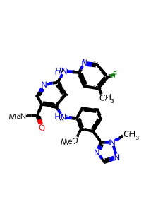 CNC(=O)c1cnc(Nc2cc(C)c(F)cn2)cc1Nc1cccc(-c2ncnn2C)c1OC